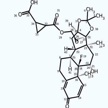 CC1(C)O[C@@H]2C[C@H]3[C@@H]4CCC5=CC(=O)C=C[C@]5(C)[C@@]4(F)[C@@H](O)C[C@]3(C)[C@]2(C(=O)COC(=O)C2CC2C(=O)O)O1